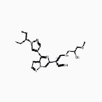 CCC(CC)n1cc(-c2nc(/C(C=N)=C/NCC(O)COC)cn3nccc23)cn1